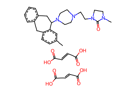 Cc1ccc2c(c1)C(N1CCN(CCN3CCN(C)C3=O)CC1)Cc1ccccc1C2.O=C(O)C=CC(=O)O.O=C(O)C=CC(=O)O